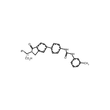 Cc1cccc(NC(=O)Nc2ccc(-c3ccc4c(c3)CN([C@H](C(=O)O)C(C)C)C4=O)cc2)c1